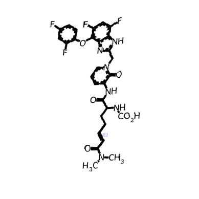 CN(C)C(=O)/C=C/CCC(NC(=O)O)C(=O)Nc1cccn(Cc2nc3c(Oc4ccc(F)cc4F)c(F)cc(F)c3[nH]2)c1=O